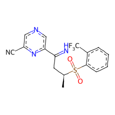 C[C@@H](CC(=N)c1cncc(C#N)n1)S(=O)(=O)c1ccccc1C(F)(F)F